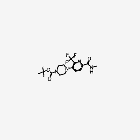 CNC(=O)c1ccc(N2CCN(C(=O)OC(C)(C)C)CC2)c(C(F)(F)F)n1